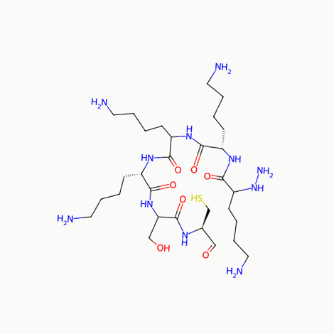 NCCCCC(NN)C(=O)N[C@@H](CCCCN)C(=O)NC(CCCCN)C(=O)N[C@@H](CCCCN)C(=O)NC(CO)C(=O)N[C@H](C=O)CS